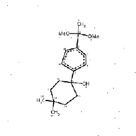 COC(C)(OC)c1ccc(C2(O)CCC(C)(C)CC2)cc1